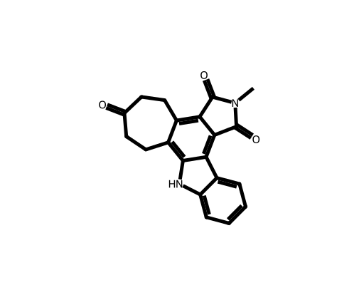 CN1C(=O)c2c3c(c4[nH]c5ccccc5c4c2C1=O)CCC(=O)CC3